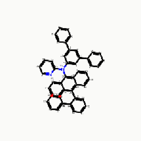 c1ccc(-c2cc(-c3ccccc3)cc(N(c3ccccn3)c3c4ccccc4c(-c4ccccc4-c4ccccc4)c4ccccc34)c2)cc1